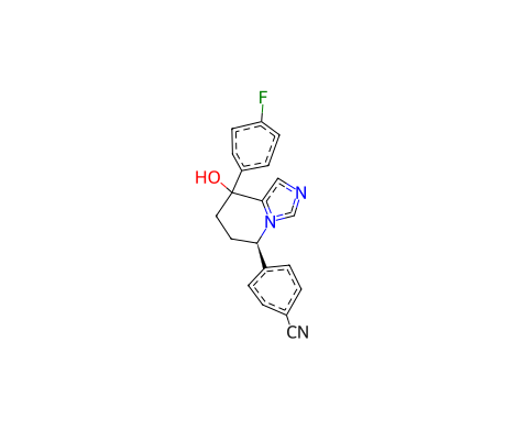 N#Cc1ccc([C@H]2CCC(O)(c3ccc(F)cc3)c3cncn32)cc1